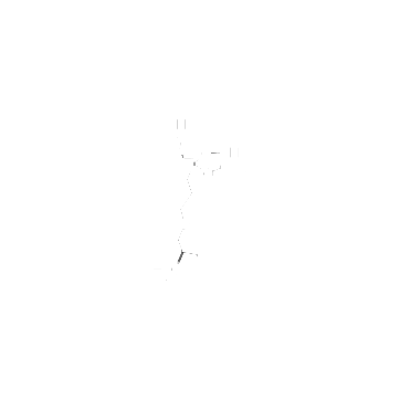 C=C(C)COCC[CH2][Ti]([O]C)([O]C)[O]C